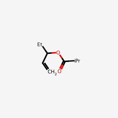 C=CC(CC)OC(=O)C(C)C